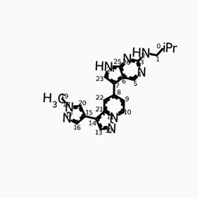 CC(C)CNc1ncc2c(-c3ccn4ncc(-c5cnn(C)c5)c4c3)c[nH]c2n1